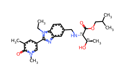 CCn1c(-c2cc(C)c(=O)n(C)c2)nc2cc(CN[C@H](C(=O)OCC(C)C)[C@@H](C)O)ccc21